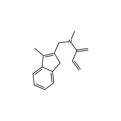 C=CC(=C)N(C)CC1=C(C)c2ccccc2C1